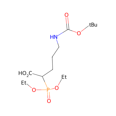 CCOP(=O)(OCC)C(CCCNC(=O)OC(C)(C)C)C(=O)O